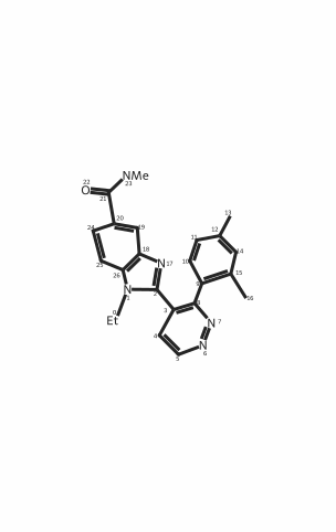 CCn1c(-c2ccnnc2-c2ccc(C)cc2C)nc2cc(C(=O)NC)ccc21